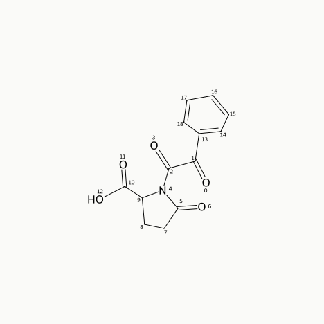 O=C(C(=O)N1C(=O)CCC1C(=O)O)c1ccccc1